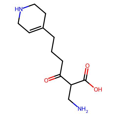 NCC(C(=O)O)C(=O)CCCC1=CCNCC1